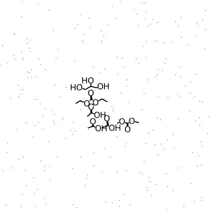 CC(=O)O.CC(=O)O.CC(=O)O.CCOC(=O)OCC.COC(=O)OC.OCC(O)CO